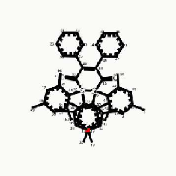 Cc1cc(C)c([Si]2(c3c(C)cc(C)cc3C)C(=O)C(c3ccccc3)=C(c3ccccc3)C(=O)[Si]2(c2c(C)cc(C)cc2C)c2c(C)cc(C)cc2C)c(C)c1